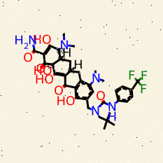 CN(C)c1cc(CN(CC(C)(C)C)C(=O)Nc2ccc(C(F)(F)F)cc2)c(O)c2c1C[C@H]1C[C@H]3[C@H](N(C)C)C(O)=C(C(N)=O)C(=O)[C@@]3(O)C(O)=C1C2=O